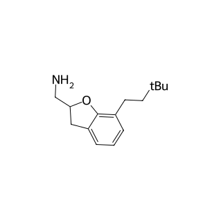 CC(C)(C)CCc1cccc2c1OC(CN)C2